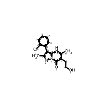 Cc1nn2c(=O)c(CCO)c(C)[nH]c2c1-c1ccccc1Cl